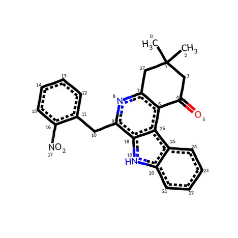 CC1(C)CC(=O)c2c(nc(Cc3ccccc3[N+](=O)[O-])c3[nH]c4ccccc4c23)C1